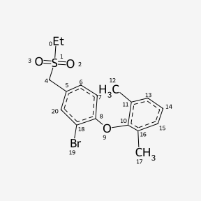 CCS(=O)(=O)Cc1ccc(Oc2c(C)cccc2C)c(Br)c1